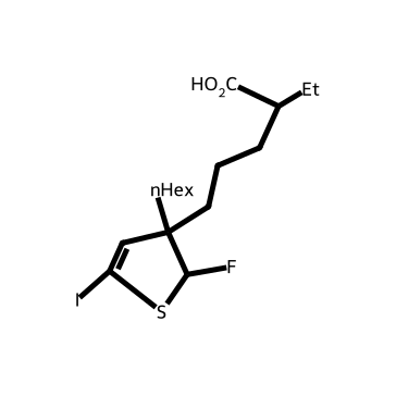 CCCCCCC1(CCCC(CC)C(=O)O)C=C(I)SC1F